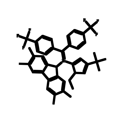 CCC1C=C(C(C)(C)C)C=[C]1[Zr](=[C](c1ccc(C(F)(F)F)cc1)c1ccc(C(F)(F)F)cc1)[CH]1c2cc(C)c(C)cc2-c2cc(C)c(C)cc21